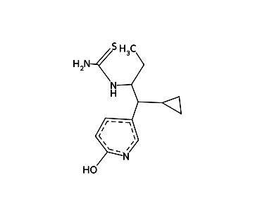 CCC(NC(N)=S)C(c1ccc(O)nc1)C1CC1